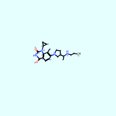 Cc1c(N2CCC(C(C)NCCC#N)C2)ccc2c(=O)[nH]c(=O)n(C3CC3)c12